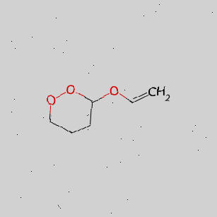 C=COC1CCCOO1